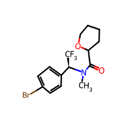 CN(C(=O)C1CCCCO1)[C@@H](c1ccc(Br)cc1)C(F)(F)F